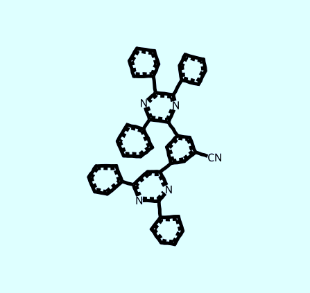 N#Cc1cc(-c2cc(-c3ccccc3)nc(-c3ccccc3)n2)cc(-c2nc(-c3ccccc3)c(-c3ccccc3)nc2-c2ccccc2)c1